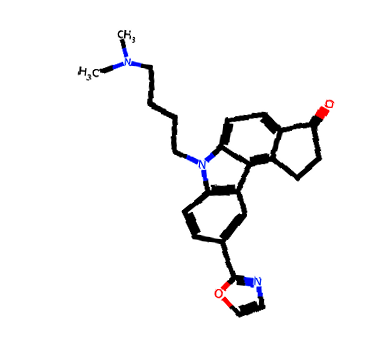 CN(C)CCCCn1c2ccc(-c3ncco3)cc2c2c3c(ccc21)C(=O)CC3